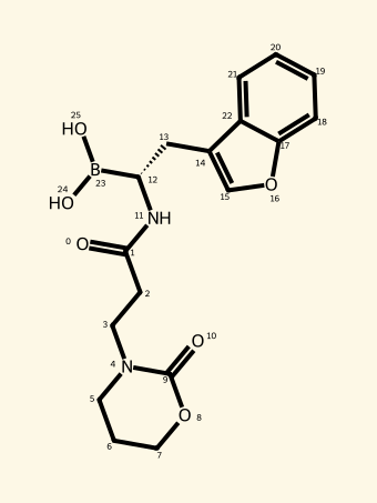 O=C(CCN1CCCOC1=O)N[C@@H](Cc1coc2ccccc12)B(O)O